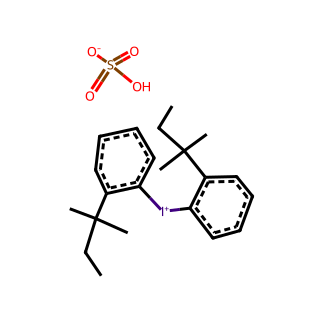 CCC(C)(C)c1ccccc1[I+]c1ccccc1C(C)(C)CC.O=S(=O)([O-])O